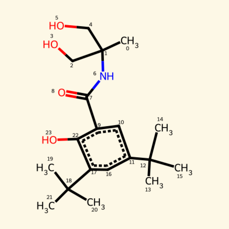 CC(CO)(CO)NC(=O)c1cc(C(C)(C)C)cc(C(C)(C)C)c1O